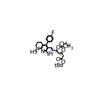 CC(C)c1nc2c(c(-c3ccc(F)cc3)c1/C=C/[C@@H]1C[C@H](CC(=O)OC(C)(C)C)OC(C)(C)O1)CCCN2S